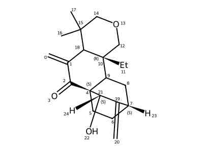 C=C1C(=O)[C@@]23CC[C@@H](CC2[C@@]2(CC)COCC(C)(C)C12)C(=C)[C@@H]3O